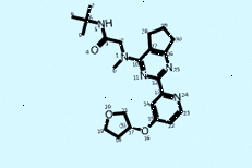 CN(CC(=O)NC(C)(C)C)c1nc(-c2cc(O[C@H]3CCOC3)ccn2)nc2c1CCC2